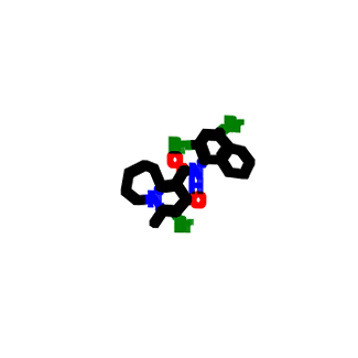 Cc1c(Br)c(=O)c(C(=O)Nc2c(Br)cc(Br)c3c2CCCC3)c2n1CCCCC2